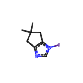 CC1(C)Cc2ncn(I)c2C1